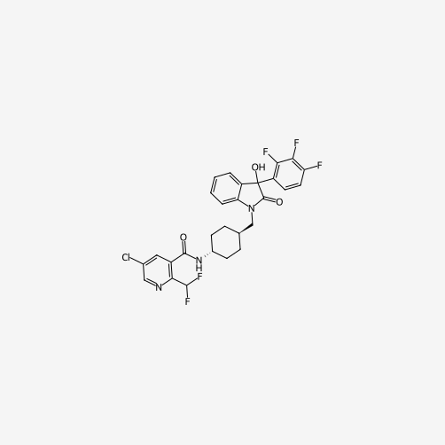 O=C(N[C@H]1CC[C@H](CN2C(=O)C(O)(c3ccc(F)c(F)c3F)c3ccccc32)CC1)c1cc(Cl)cnc1C(F)F